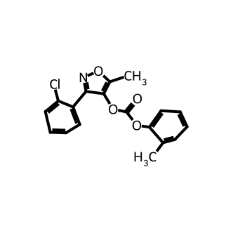 Cc1ccccc1OC(=O)Oc1c(-c2ccccc2Cl)noc1C